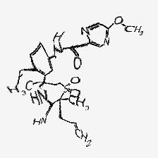 C=CC[C@]1(C)C(=N)N[C@](C)(c2cc(NC(=O)c3cnc(OC)cn3)ccc2F)CS1(=O)=O